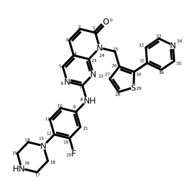 O=c1ccc2cnc(Nc3ccc(N4CCNCC4)c(F)c3)nc2n1Cc1ccsc1-c1ccncc1